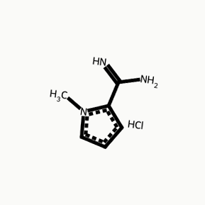 Cl.Cn1cccc1C(=N)N